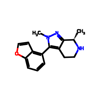 C[C@@H]1NCCc2c1nn(C)c2-c1cccc2occc12